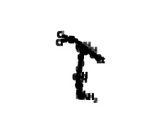 CCOCCOCCNC(=O)CC(NC(=O)CCCc1ccc(C(CCCl)CCCl)cc1)C(=O)NCCOCCOCCOCCNC(=O)NCc1ccc(COc2nccc(N)n2)cc1